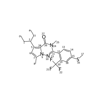 CCC(CC)c1cc(C)n2nc(-c3ccc(SC)cc3C(F)(F)F)n(C)c(=O)c12